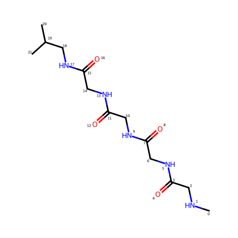 CNCC(=O)NCC(=O)NCC(=O)NCC(=O)NCC(C)C